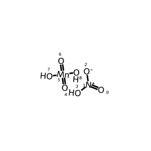 O=[N+]([O-])O.[O]=[Mn](=[O])([OH])[OH]